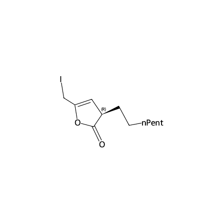 CCCCCCC[C@@H]1C=C(CI)OC1=O